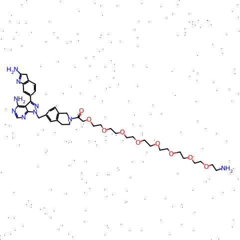 NCCOCCOCCOCCOCCOCCOCCOCCOCC(=O)N1CCc2cc(Cn3nc(-c4ccc5c(c4)N=C(N)C5)c4c(N)ncnc43)ccc2C1